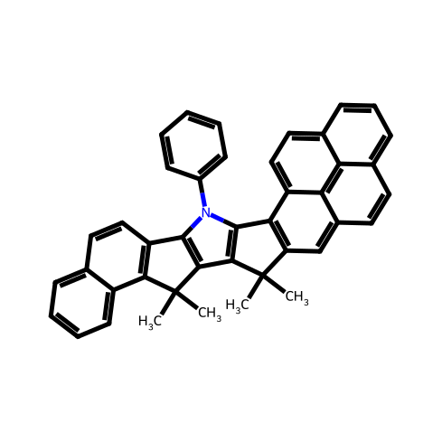 CC1(C)c2cc3ccc4cccc5ccc(c2-c2c1c1c(n2-c2ccccc2)-c2ccc6ccccc6c2C1(C)C)c3c45